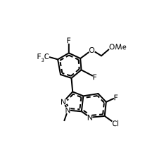 COCOc1c(F)c(-c2nn(C)c3nc(Cl)c(F)cc23)cc(C(F)(F)F)c1F